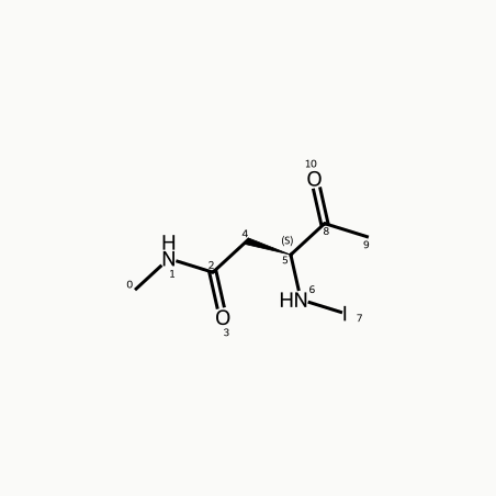 CNC(=O)C[C@H](NI)C(C)=O